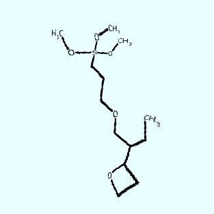 CCC(COCCC[Si](OC)(OC)OC)C1CCO1